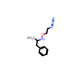 [N-]=[N+]=NCCONC(Cc1ccccc1)C(=O)O